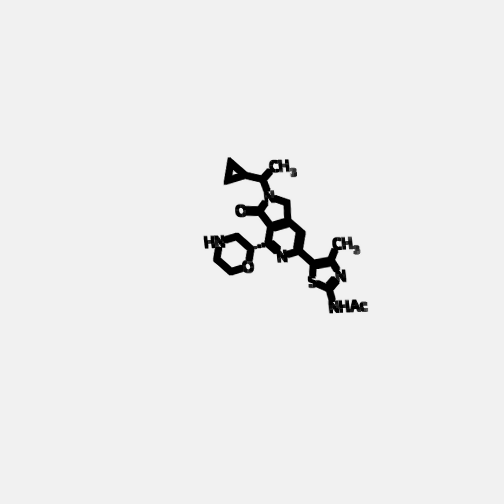 CC(=O)Nc1nc(C)c(-c2cc3c(c([C@H]4CNCCO4)n2)C(=O)N(C(C)C2CC2)C3)s1